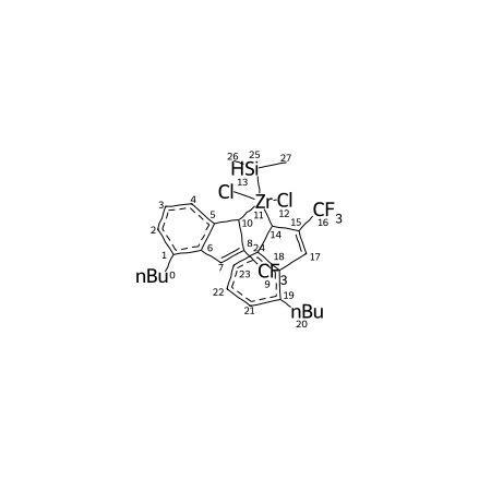 CCCCc1cccc2c1C=C(C(F)(F)F)[CH]2[Zr]([Cl])([Cl])([CH]1C(C(F)(F)F)=Cc2c(CCCC)cccc21)[SiH](C)C